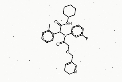 Cc1ccccc1C(C(=O)NC1CCCCC1)N(C(=O)COCC1=CCCN=C1)c1cccc(F)c1